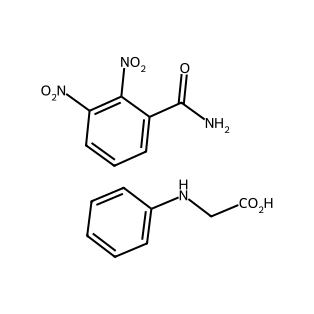 NC(=O)c1cccc([N+](=O)[O-])c1[N+](=O)[O-].O=C(O)CNc1ccccc1